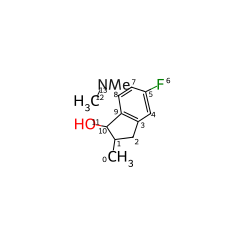 CC1Cc2cc(F)ccc2C1O.CNC